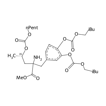 CCCCCOC(=O)O[C@@H](C)CC(N)(Cc1ccc(OC(=O)OCC(C)CC)c(OC(=O)OCC(C)CC)c1)C(=O)OC